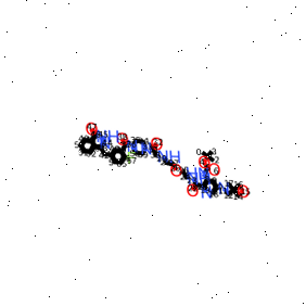 CC(C)(C)OC(=O)Nc1cc(N2CC3(COC3)C2)cnc1C(=O)NCCOCCNCC(=O)N1CCN(C(=O)c2cc(Cc3n[nH]c(=O)c4ccccc34)ccc2F)CC1